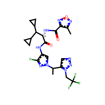 Cc1nonc1C(=O)N[C@H](C(=O)Nc1cn(C(C)c2cnnn2CC(F)(F)F)nc1F)C(C1CC1)C1CC1